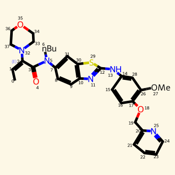 C/C=C(\C(=O)N(CCCC)c1ccc2nc(Nc3ccc(OCc4ccccn4)c(OC)c3)sc2c1)N1CCOCC1